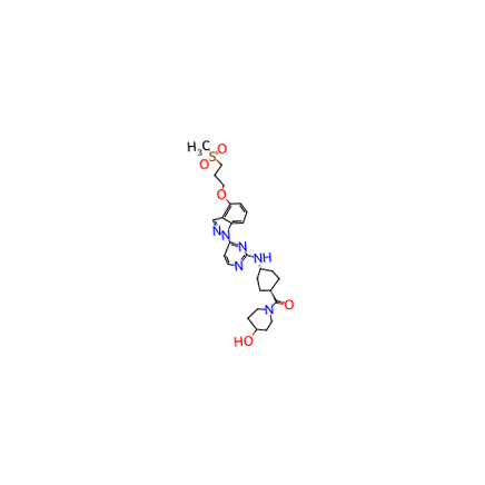 CS(=O)(=O)CCCOc1cccc2c1cnn2-c1ccnc(N[C@H]2CC[C@H](C(=O)N3CCC(O)CC3)CC2)n1